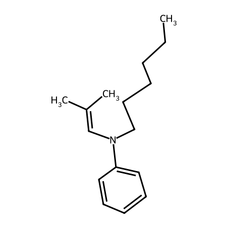 CCCCCCN(C=C(C)C)c1ccccc1